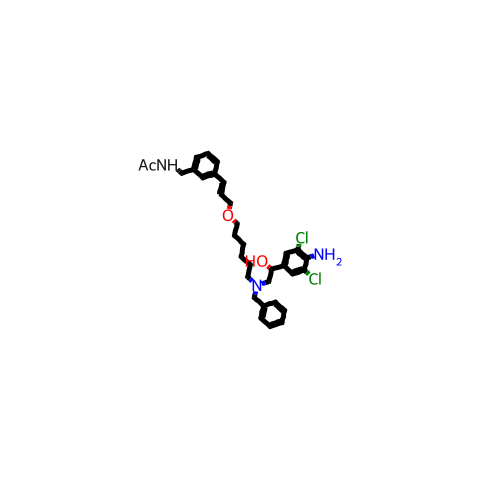 CC(=O)NCc1cccc(C=CCOCCCCCCN(Cc2ccccc2)CC(O)c2cc(Cl)c(N)c(Cl)c2)c1